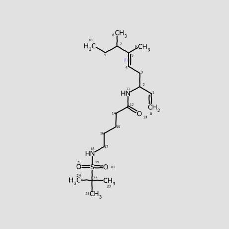 C=CC(C/C=C(\C)C(C)CC)NC(=O)CCCCNS(=O)(=O)C(C)(C)C